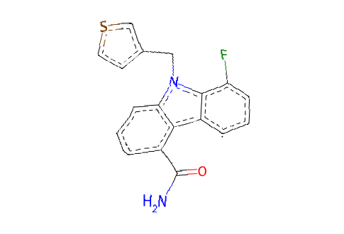 NC(=O)c1cccc2c1c1[c]ccc(F)c1n2Cc1ccsc1